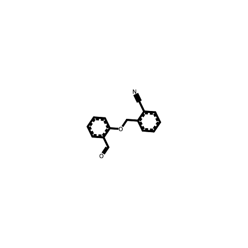 N#Cc1ccccc1COc1ccccc1C=O